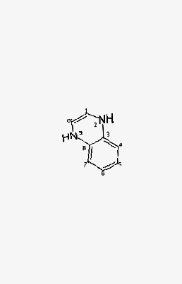 [C]1=CNc2ccccc2N1